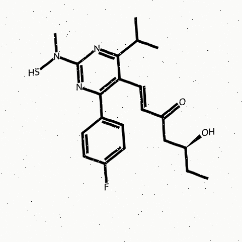 CC[C@H](O)CC(=O)/C=C/c1c(-c2ccc(F)cc2)nc(N(C)S)nc1C(C)C